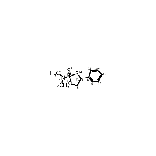 CN(C)[P@]1(=S)OC[C@H](c2ccccc2)S1